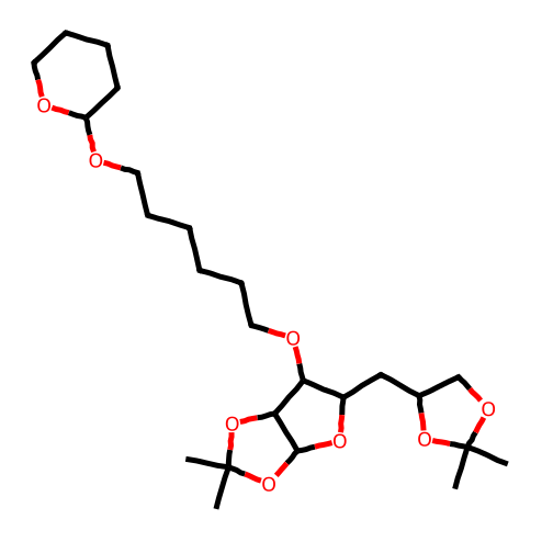 CC1(C)OCC(CC2OC3OC(C)(C)OC3C2OCCCCCCOC2CCCCO2)O1